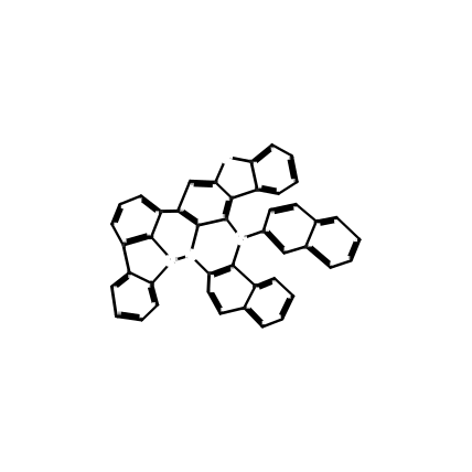 c1ccc2cc(N3c4c(ccc5ccccc45)B4c5c(cc6oc7ccccc7c6c53)-c3cccc5c6ccccc6n4c35)ccc2c1